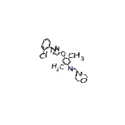 Cc1cc(Oc2ccn(-c3ccccc3Cl)n2)c(C)cc1/N=C/N1CCOCC1